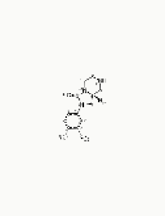 N#Cc1ccc(N2C[C@H]3CNCCN3C2=O)cc1C(F)(F)F